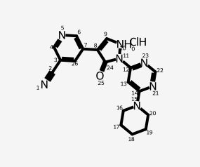 Cl.N#Cc1cncc(-c2c[nH]n(-c3cc(N4CCCCC4)ncn3)c2=O)c1